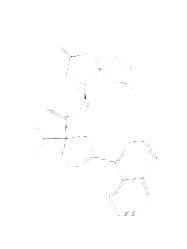 CCOC1(CF)OC(=O)C[C@@H]1NC(=O)C1(C(C)C)CC(c2nccc3ccccc23)=NO1